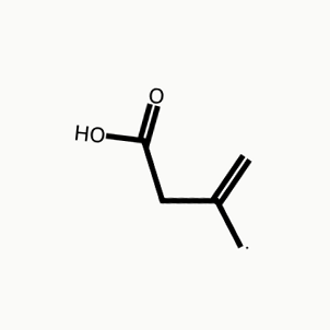 [CH2]C(=C)CC(=O)O